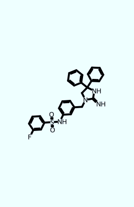 N=C1NC(c2ccccc2)(c2ccccc2)CN1Cc1cccc(NS(=O)(=O)c2cccc(F)c2)c1